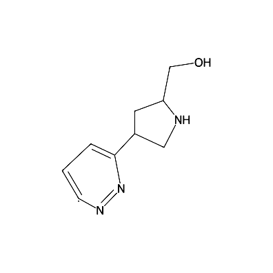 OCC1CC(c2cc[c]nn2)CN1